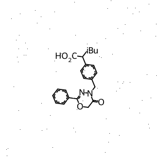 CCC(C)C(C(=O)O)c1ccc(CN2N=C(c3ccccc3)OCC2=O)cc1